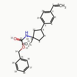 C=Cc1ccc(C2CCC(NC(=O)OCc3ccccc3)(C(=O)O)C2)cc1